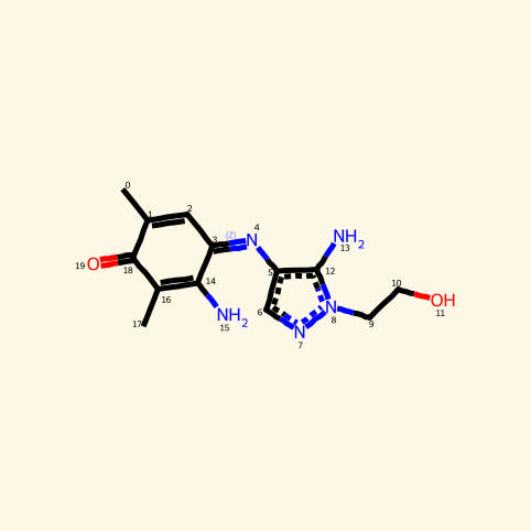 CC1=C/C(=N/c2cnn(CCO)c2N)C(N)=C(C)C1=O